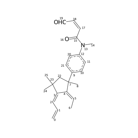 C=C/C=C1\C(=C/C)C(C)(c2ccc(N(C)C(=O)/C=C\C=O)cc2)CC1(C)C